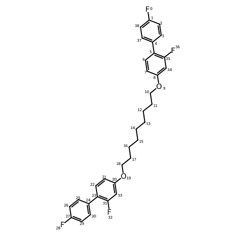 Fc1ccc(-c2ccc(OCCCCCCCCCOc3ccc(-c4ccc(F)cc4)c(F)c3)cc2F)cc1